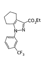 CCOC(=O)c1nn(-c2cccc(C(F)(F)F)c2)c2c1CCCC2